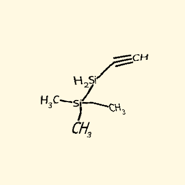 C#C[SiH2][Si](C)(C)C